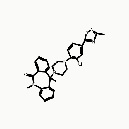 Cc1noc(-c2ccc(N3CCN(C4(C)c5ccccc5C(=O)N(C)c5ccccc54)CC3)c(Cl)c2)n1